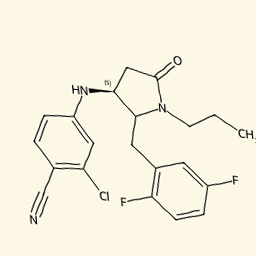 CCCN1C(=O)C[C@H](Nc2ccc(C#N)c(Cl)c2)C1Cc1cc(F)ccc1F